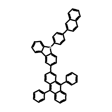 c1ccc(-c2c3ccccc3c(-c3ccccc3)c3cc(-c4ccc5c(c4)c4ccccc4n5-c4ccc(-c5ccc6ccccc6c5)cc4)ccc23)cc1